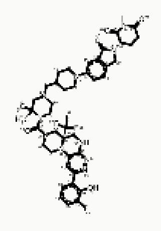 CC1(C)CN(CC2CCN(c3ccc4c(c3)C(=O)N([C@H]3CCC(=O)NC3=O)C4)CC2)CCN1C(=O)N1CCN2c3cc(-c4cccc(F)c4O)nnc3NC[C@@]2(C(F)(F)F)C1